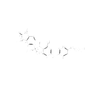 CC(c1ccc(Oc2ccc(OC(=O)O)nc2)cc1Cl)C(O)(c1ccc2c(c1)n(C)c(=O)n2C)C(F)(F)F